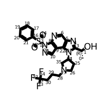 C[C@@H](O)c1nc2cnc3c(cnn3S(=O)(=O)c3ccccc3)c2n1[C@H]1CCN(CCCC(F)(F)F)C1